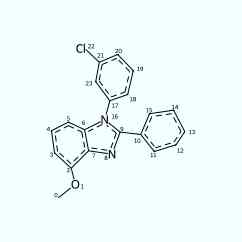 COc1cccc2c1nc(-c1ccccc1)n2-c1cccc(Cl)c1